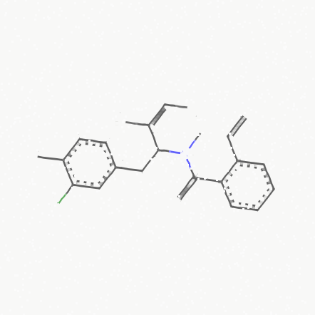 C=Cc1ccccc1C(=C)N(C)C(Cc1ccc(C)c(Cl)c1)/C(=C\CC)CC